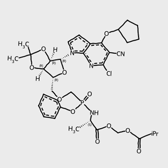 CC(C)C(=O)OCOC(=O)[C@H](C)NP(=O)(COC[C@H]1O[C@@H](n2ccc3c(OC4CCCC4)c(C#N)c(Cl)nc32)[C@@H]2OC(C)(C)O[C@@H]21)Oc1ccccc1